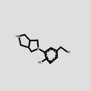 CC(C)Cc1ccc(C#N)c(N2CC3CNCC3C2)c1